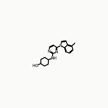 Cc1cccc2c1ccn2-c1ccnc(NC2CCC(O)CC2)n1